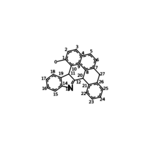 Cc1ccc2ccc3c4c2c1C1C(=Nc2ccccc21)C4c1ccccc1C3